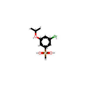 CC(C)Oc1cc(Br)cc(S(C)(=O)=O)c1